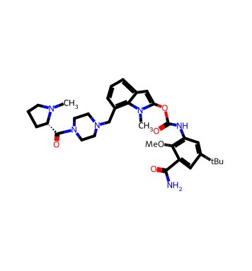 COc1c(NC(=O)Oc2cc3cccc(CN4CCN(C(=O)[C@@H]5CCCN5C)CC4)c3n2C)cc(C(C)(C)C)cc1C(N)=O